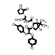 CC1(C)[C@@H]2[C@@H](C(=O)NC(C=O)C[C@@H]3CCNC3=O)N(C(=O)C(Oc3ccc(Cl)cc3)Oc3ccc(Cl)cc3)C[C@@H]21